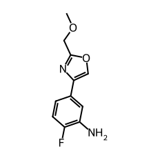 COCc1nc(-c2ccc(F)c(N)c2)co1